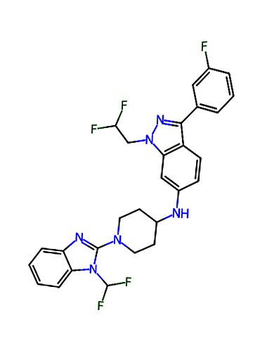 Fc1cccc(-c2nn(CC(F)F)c3cc(NC4CCN(c5nc6ccccc6n5C(F)F)CC4)ccc23)c1